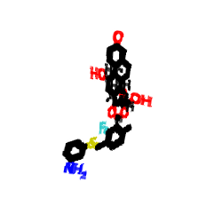 Cc1ccc(CSc2cccc(N)c2)c(F)c1[C@@H]1O[C@@H]2C[C@H]3[C@@H]4CCC5=CC(=O)C=C[C@]5(C)[C@H]4[C@@H](O)C[C@]3(C)[C@]2(C(=O)CO)O1